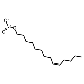 CCCC/C=C\CCCCCCCCO[N+](=O)[O-]